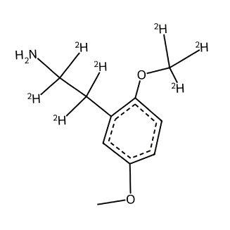 [2H]C([2H])([2H])Oc1ccc(OC)cc1C([2H])([2H])C([2H])([2H])N